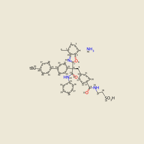 Cc1cccc2oc([C@](Cc3ccc(C(=O)NCCS(=O)(=O)O)cc3)(C(=O)Nc3ccccc3)c3ccc(-c4ccc(C(C)(C)C)cc4)cc3)nc12.N